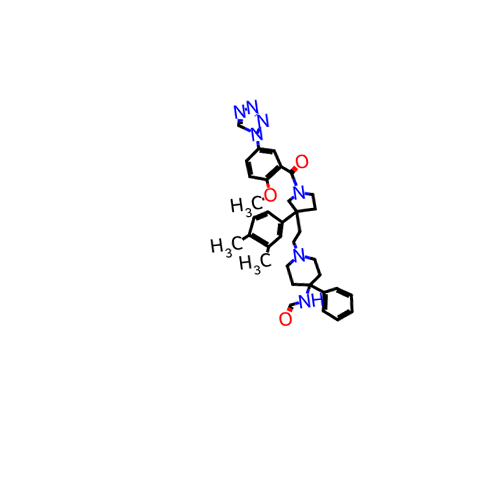 COc1ccc(-n2cnnn2)cc1C(=O)N1CCC(CCN2CCC(NC=O)(c3ccccc3)CC2)(c2ccc(C)c(C)c2)C1